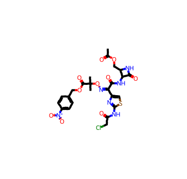 CC(=O)OCC1NC(=O)C1NC(=O)/C(=N\OC(C)(C)C(=O)OCc1ccc([N+](=O)[O-])cc1)c1csc(NC(=O)CCl)n1